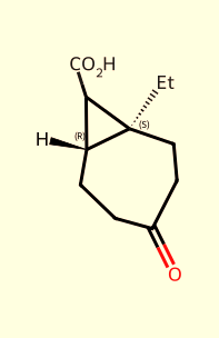 CC[C@]12CCC(=O)CC[C@@H]1C2C(=O)O